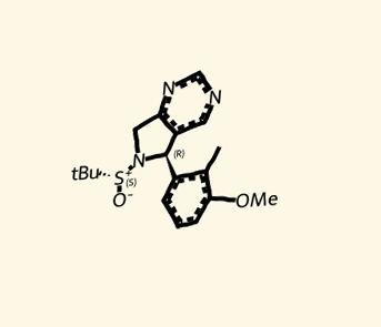 COc1cccc([C@@H]2c3cncnc3CN2[S@+]([O-])C(C)(C)C)c1C